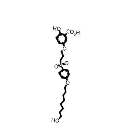 O=C(O)c1cc(OCCCS(=O)(=O)c2ccc(OCCCCCCCCO)cc2)ccc1O